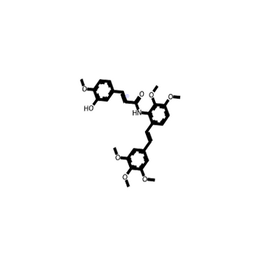 COc1ccc(/C=C/C(=O)Nc2c(C=Cc3cc(OC)c(OC)c(OC)c3)ccc(OC)c2OC)cc1O